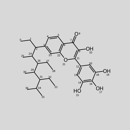 CCC(c1ccc2c(=O)c(O)c(-c3cc(O)c(O)c(O)c3)oc2c1)C(C)C(CC)C(C)C(CC)C(C)C